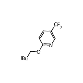 CCC(C)COc1ccc(C(F)(F)F)cn1